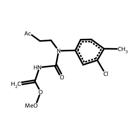 C=C(NC(=O)N(CCC(C)=O)c1ccc(C)c(Cl)c1)OOC